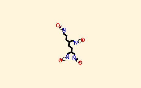 O=C=NCCCC(CCC(CN=C=O)CN=C=O)CN=C=O